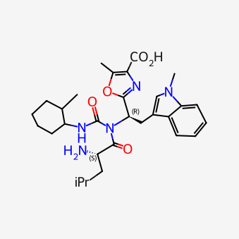 Cc1oc([C@@H](Cc2cn(C)c3ccccc23)N(C(=O)NC2CCCCC2C)C(=O)[C@@H](N)CC(C)C)nc1C(=O)O